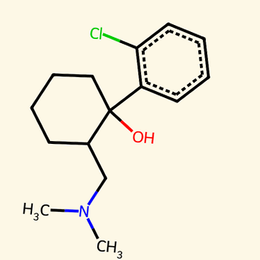 CN(C)CC1CCCCC1(O)c1ccccc1Cl